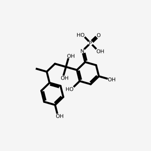 CC(CC(O)(O)C1=C(O)C=C(O)CC1=NP(=O)(O)O)c1ccc(O)cc1